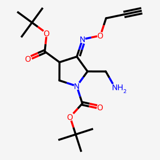 C#CCON=C1C(C(=O)OC(C)(C)C)CN(C(=O)OC(C)(C)C)C1CN